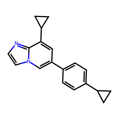 c1cn2cc(-c3ccc(C4CC4)cc3)cc(C3CC3)c2n1